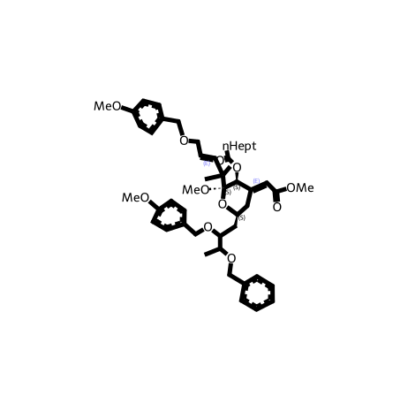 CCCCCCCC(=O)O[C@H]1/C(=C/C(=O)OC)C[C@@H](CC(OCc2ccc(OC)cc2)C(C)OCc2ccccc2)O[C@@]1(OC)C(C)(C)/C=C/COCc1ccc(OC)cc1